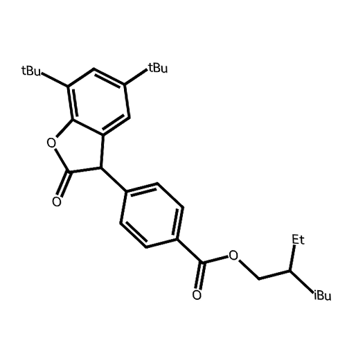 CCC(C)C(CC)COC(=O)c1ccc(C2C(=O)Oc3c2cc(C(C)(C)C)cc3C(C)(C)C)cc1